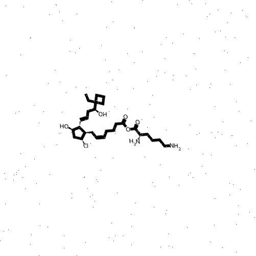 CCC1([C@@H](O)C/C=C/[C@@H]2[C@@H](C/C=C\CCCC(=O)OC(=O)[C@@H](N)CCCCN)[C@H](Cl)C[C@H]2O)CCC1